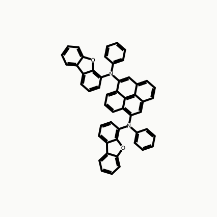 c1ccc(N(c2cc3cccc4cc(N(c5ccccc5)c5cccc6c5oc5ccccc56)c5cccc2c5c34)c2cccc3c2oc2ccccc23)cc1